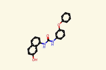 O=C(Nc1cccc(Oc2ccccc2)c1)Nc1cccc2ccc(O)cc12